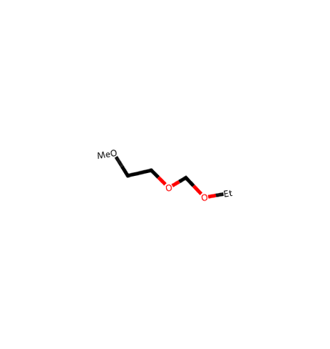 CCOCOCCOC